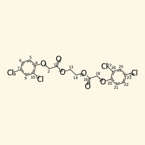 O=C(COc1ccc(Cl)cc1Cl)OCCOC(=O)COc1ccc(Cl)cc1Cl